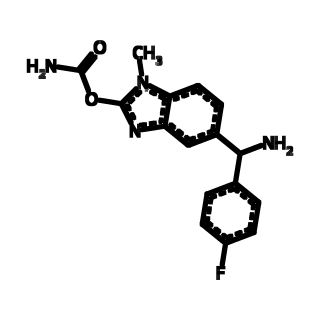 Cn1c(OC(N)=O)nc2cc(C(N)c3ccc(F)cc3)ccc21